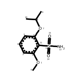 COc1cccc(OC(C)C)c1S(N)(=O)=O